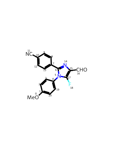 COc1ccc(-n2c(-c3ccc(C#N)cc3)nc(C=O)c2F)cc1